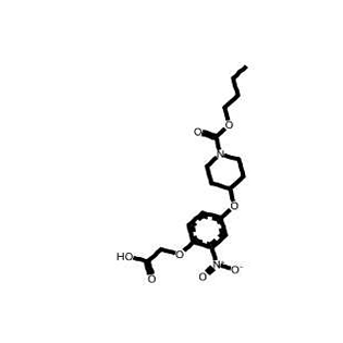 CCCCOC(=O)N1CCC(Oc2ccc(OCC(=O)O)c([N+](=O)[O-])c2)CC1